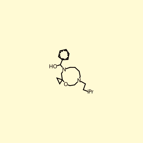 CC(C)CCN1CCCCN(C(O)c2ccccc2)CC2(CC2)OCC1